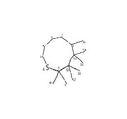 CC1CCCCSC(C)(C)C(C)(C)C1(C)C